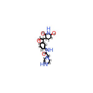 O=C1CCC(c2coc3ccc(NC(=O)CN4CCNCC4)cc23)C(=O)N1